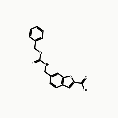 O=C(NCc1ccc2cc(C(=O)O)sc2c1)OCc1ccccc1